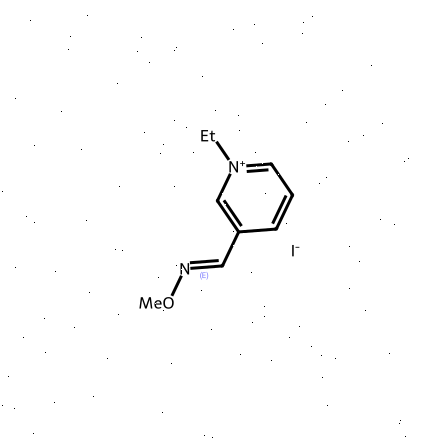 CC[n+]1cccc(/C=N/OC)c1.[I-]